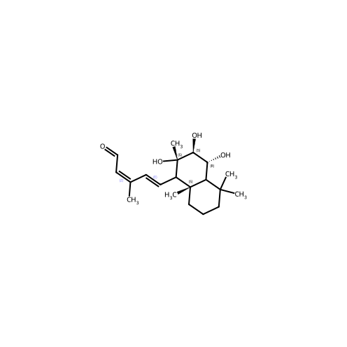 CC(=C/C=O)/C=C/C1[C@@]2(C)CCCC(C)(C)C2[C@@H](O)[C@H](O)[C@@]1(C)O